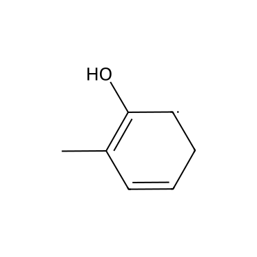 CC1=C(O)[CH]CC=C1